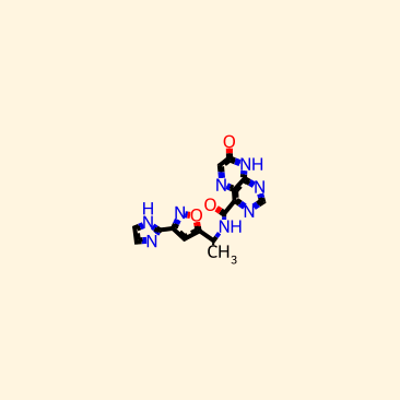 C[C@@H](NC(=O)c1ncnc2[nH]c(=O)cnc12)c1cc(-c2ncc[nH]2)no1